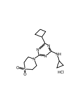 Cl.O=S1(=O)CCN(c2nc(NC3CC3)nc(C3CCC3)n2)CC1